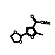 COC(=O)c1cc(C2OCCO2)oc1C